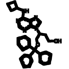 OCCC(COC(c1ccccc1)(c1ccccc1)c1ccccc1)n1cnc2c(NC3CCC3)ncnc21